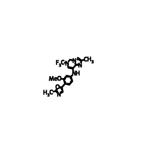 COc1cc(NC2=CN(C(F)(F)F)C[N+]3C=C(C)N=C23)ccc1-c1cnc(C)o1